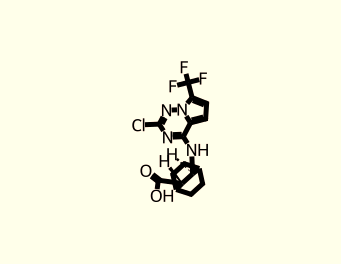 O=C(O)[C@H]1C2CCC(CC2)[C@@H]1Nc1nc(Cl)nn2c(C(F)(F)F)ccc12